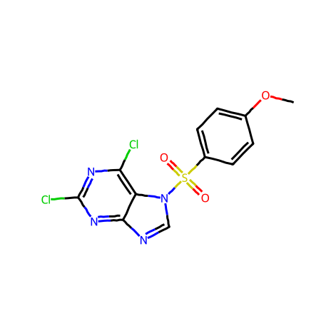 COc1ccc(S(=O)(=O)n2cnc3nc(Cl)nc(Cl)c32)cc1